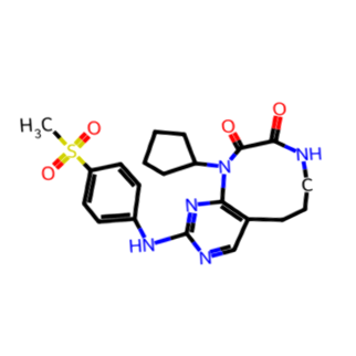 CS(=O)(=O)c1ccc(Nc2ncc3c(n2)N(C2CCCC2)C(=O)C(=O)NCCC3)cc1